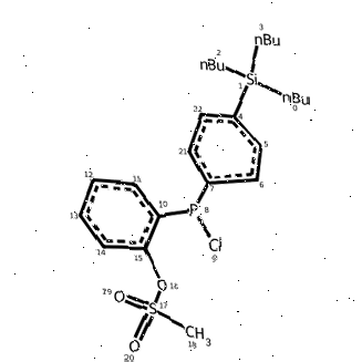 CCCC[Si](CCCC)(CCCC)c1ccc(P(Cl)c2ccccc2OS(C)(=O)=O)cc1